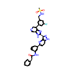 CS(=O)(=O)NCc1cc(F)cc(-c2cncc3[nH]c(-c4n[nH]c5ccc(-c6cc#cc(NC(=O)Cc7ccccc7)c6)nc45)nc23)c1